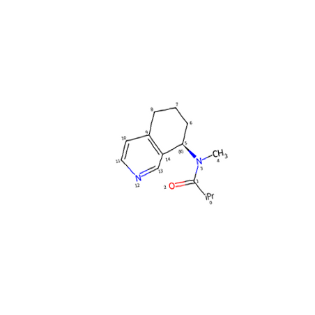 CC(C)C(=O)N(C)[C@@H]1CCCc2ccncc21